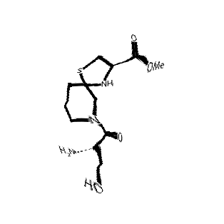 COC(=O)[C@@H]1CSC2(CCCN(C(=O)[C@@H](N)CO)C2)N1